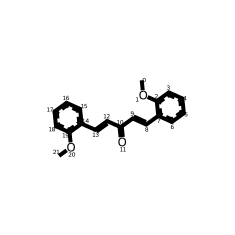 COc1ccccc1C=CC(=O)C=Cc1ccccc1OC